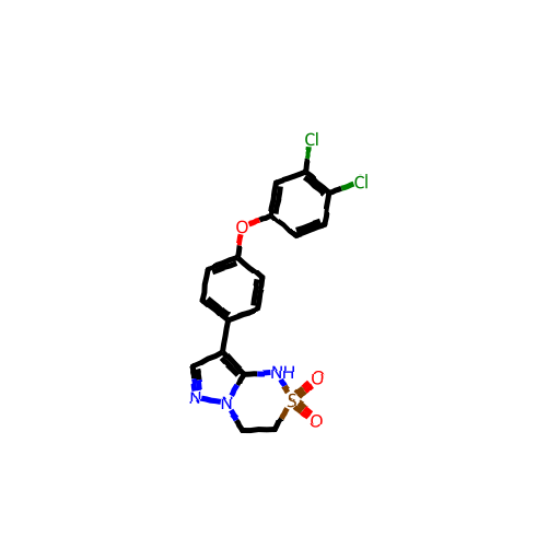 O=S1(=O)CCn2ncc(-c3ccc(Oc4ccc(Cl)c(Cl)c4)cc3)c2N1